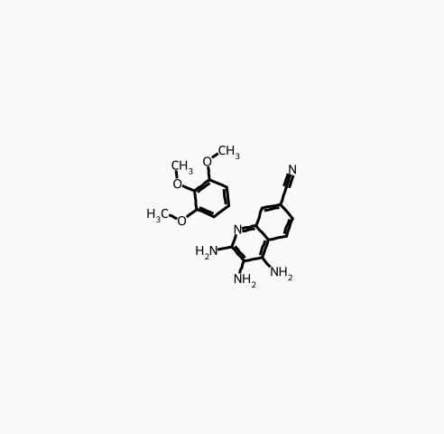 COc1cccc(OC)c1OC.N#Cc1ccc2c(N)c(N)c(N)nc2c1